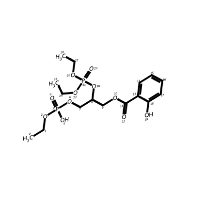 CCOP(=O)(O)OCC(COC(=O)c1ccccc1O)OP(=O)(OCC)OCC